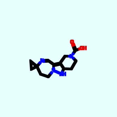 O=C(O)N1CCC2NN3CCC4(CC4)N=CC3=C2C1